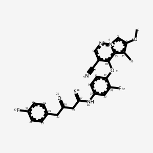 COc1cn2ncc(C#N)c(Oc3ccc(NC(=S)CC(=O)Cc4ccc(F)cc4)cc3F)c2c1C